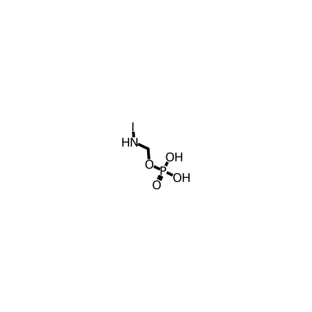 O=P(O)(O)OCNI